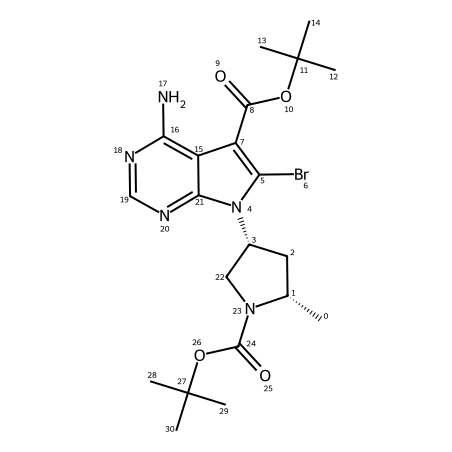 C[C@H]1C[C@@H](n2c(Br)c(C(=O)OC(C)(C)C)c3c(N)ncnc32)CN1C(=O)OC(C)(C)C